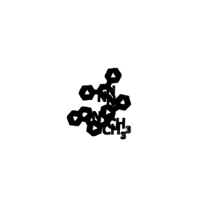 CC1(C)c2cc3c4ccccc4n(-c4nc(-c5ccccc5)cc(-c5ccccc5)n4)c3cc2-n2c3ccc4ccccc4c3c3cccc1c32